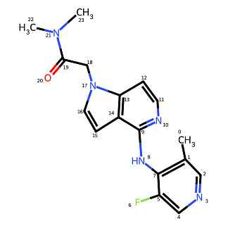 Cc1cncc(F)c1Nc1nccc2c1ccn2CC(=O)N(C)C